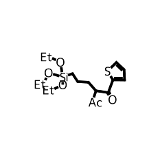 CCO[Si](CCCC(C(C)=O)C(=O)c1cccs1)(OCC)OCC